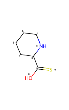 OC(=S)C1CCCCN1